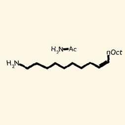 CC(N)=O.CCCCCCCC/C=C\CCCCCCCCN